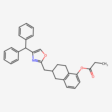 CCC(=O)Oc1cccc2c1CCC(Cc1nc(C(c3ccccc3)c3ccccc3)co1)C2